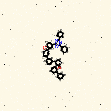 c1ccc(-c2nc(-c3ccccc3)nc(-c3ccc4oc5ccc(-c6cccc(-c7cccc8oc9c(-c%10ccccc%10)cccc9c78)c6)cc5c4c3)n2)cc1